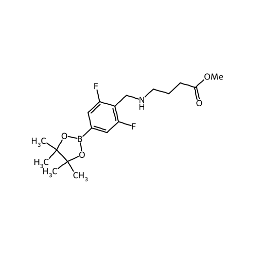 COC(=O)CCCNCc1c(F)cc(B2OC(C)(C)C(C)(C)O2)cc1F